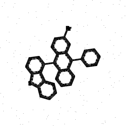 Brc1ccc2c(-c3cccc4sc5ccccc5c34)c3ccccc3c(-c3ccccc3)c2c1